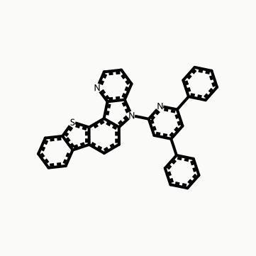 c1ccc(-c2cc(-c3ccccc3)nc(-n3c4cccnc4c4c5sc6ccccc6c5ccc43)c2)cc1